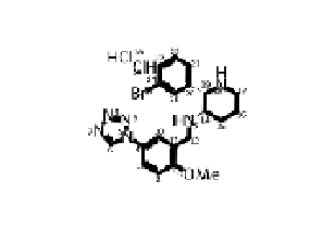 COc1ccc(-n2cnnn2)cc1CN[C@H]1CCCN[C@H]1c1cccc(Br)c1.Cl.Cl